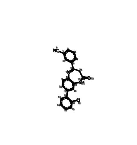 N#Cc1cccc(C2=Nc3ccc(-c4ccccc4Cl)cc3NC(=O)C2)c1